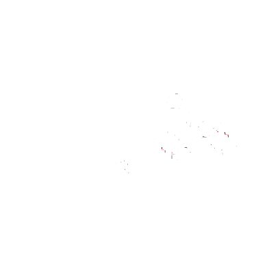 CCCOCCOCCOCc1cnn(CCCCN2C(=O)[C@@]34C[C@]5([C@]67C[C@@]89SS[C@@](C)(C(=O)N8[C@H]6Cc6ccccc67)N(C)C9=O)c6ccccc6N(S(=O)(=O)c6ccccc6)[C@@H]5N3C(=O)[C@]2(C)SS4)c1